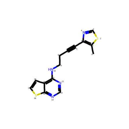 Cc1scnc1C#CCCNc1ncnc2sccc12